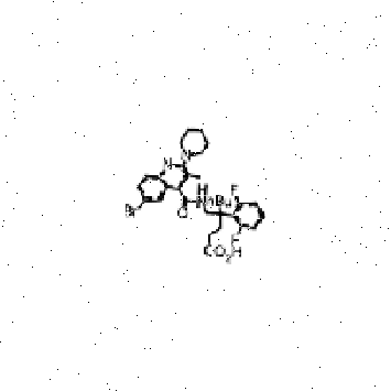 CCCCC(CCC(=O)O)(CNC(=O)c1c(C)c(N2CCCCC2)nc2ccc(Br)cc12)c1c(F)cccc1F